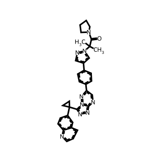 CC(C)(C(=O)N1CCCC1)n1cc(-c2ccc(-c3cnc4nnc(C5(c6ccc7ncccc7c6)CC5)n4n3)cc2)cn1